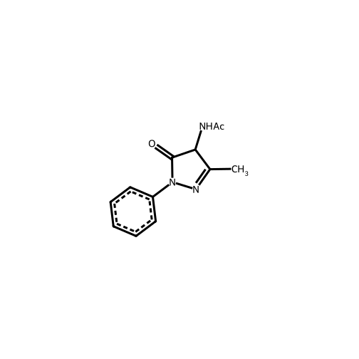 CC(=O)NC1C(=O)N(c2ccccc2)N=C1C